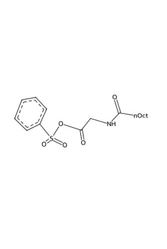 CCCCCCCCC(=O)NCC(=O)OS(=O)(=O)c1ccccc1